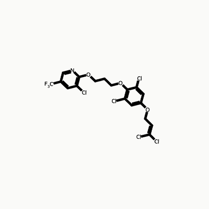 FC(F)(F)c1cnc(OCCCOc2c(Cl)cc(OCC=C(Cl)Cl)cc2Cl)c(Cl)c1